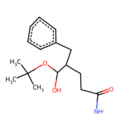 CC(C)(C)OC(O)C(CCC([NH])=O)Cc1ccccc1